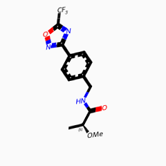 CO[C@@H](C)C(=O)NCc1ccc(-c2noc(C(F)(F)F)n2)cc1